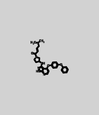 CN(C)CC=CC(=O)N1CCC(Nc2n[nH]c3nccc(Oc4ccc(Oc5ccccc5)cc4)c23)C1